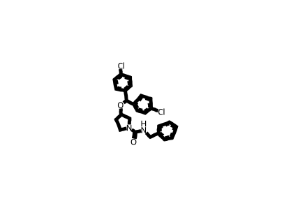 O=C(NCc1ccccc1)N1CCC(OC(c2ccc(Cl)cc2)c2ccc(Cl)cc2)C1